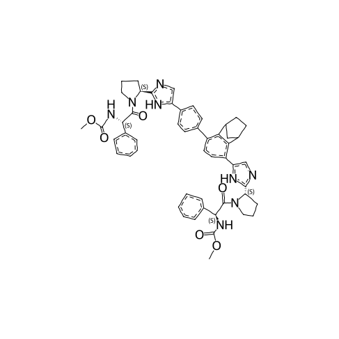 COC(=O)N[C@H](C(=O)N1CCC[C@H]1c1ncc(-c2ccc(-c3ccc(-c4cnc([C@@H]5CCCN5C(=O)[C@@H](NC(=O)OC)c5ccccc5)[nH]4)c4c3C3CCC4C3)cc2)[nH]1)c1ccccc1